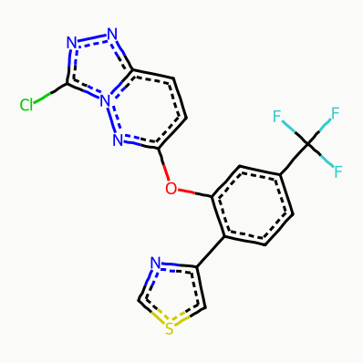 FC(F)(F)c1ccc(-c2cscn2)c(Oc2ccc3nnc(Cl)n3n2)c1